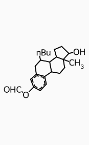 CCCCC1Cc2cc(OC=O)ccc2C2CCC3(C)C(O)CCC3C12